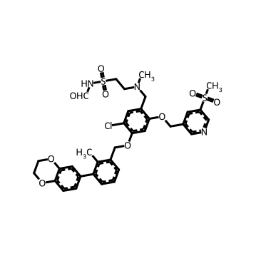 Cc1c(COc2cc(OCc3cncc(S(C)(=O)=O)c3)c(CN(C)CCS(=O)(=O)NC=O)cc2Cl)cccc1-c1ccc2c(c1)OCCO2